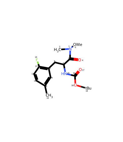 CON(C)C(=O)C(Cc1cc(C)ccc1F)NC(=O)OC(C)(C)C